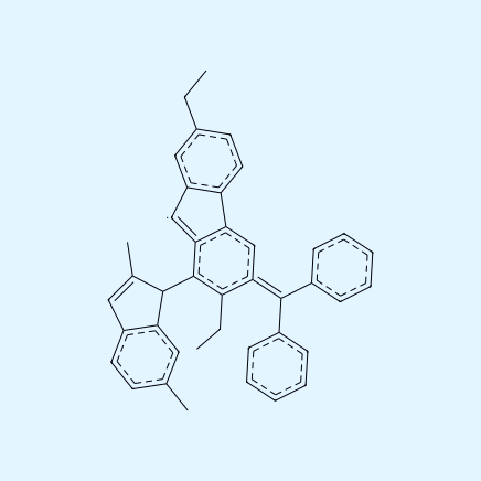 CCc1ccc2c(c1)[C]=c1c-2cc(=C(c2ccccc2)c2ccccc2)c(CC)c1C1C(C)=Cc2ccc(C)cc21